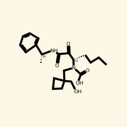 CCCC[C@@H](C(=O)C(=O)N[C@H](C)c1ccccc1)N(CC1(CO)CCC1)C(=O)O